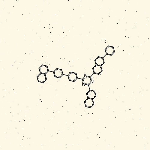 c1ccc(-c2ccc3cc(-c4nc(-c5ccc(-c6ccc(-c7cccc8ccccc78)cc6)cc5)nc(-c5ccc6ccccc6c5)n4)ccc3c2)cc1